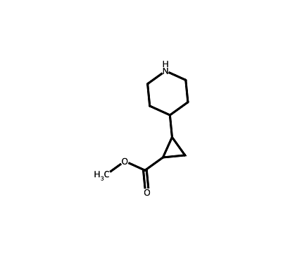 COC(=O)C1CC1C1CCNCC1